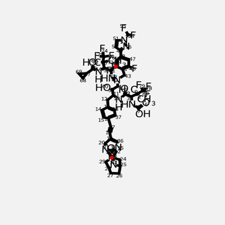 CC(C)(C(NC(=O)O)C(=O)NC(Cc1ccc(C#Cc2cnc(N3CC4CCC(C3)N4C3COC3)nc2)cc1)C(O)CN(Cc1c(F)cc(-c2ccn(C(F)F)n2)cc1F)NC(=O)C(NC(=O)C1CC1)C(C)(C)C(F)(F)F)C(F)(F)F